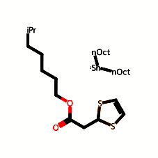 CC(C)CCCCCOC(=O)CC1SC=CS1.CCCCCCC[CH2][Sn][CH2]CCCCCCC